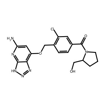 Nc1cc(OCc2ccc(C(=O)N3CCCC3CO)cc2Cl)c2nn[nH]c2n1